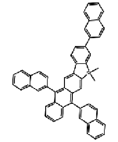 C[Si]1(C)c2cc(-c3ccc4ccccc4c3)ccc2-c2cc3c(-c4ccc5ccccc5c4)c4ccccc4c(-c4ccc5ccccc5c4)c3cc21